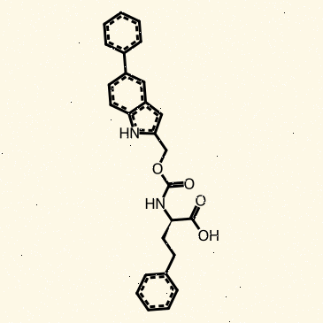 O=C(N[C@H](CCc1ccccc1)C(=O)O)OCc1cc2cc(-c3ccccc3)ccc2[nH]1